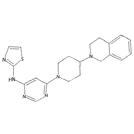 c1ccc2c(c1)CCN(C1CCN(c3cc(Nc4nccs4)ncn3)CC1)C2